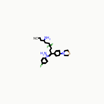 N#CCCC(N)CCC(F)(F)CC/C(=C\N(N)c1ccc(F)cc1)C1=CCC(N2CCSCC2)C=C1